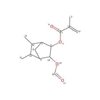 C=C(C)C(=O)OC1C2CC(C(C)C2C)C1OC=O